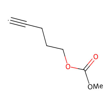 [C]#CCCCOC(=O)OC